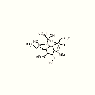 CCCCOC1C(OCCCC)C(OP(=O)(O)CC(=O)O)C(OP(=O)(O)CC(=O)O)C(OP(=O)(O)CC(=O)O)C1OCCCC